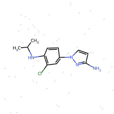 CC(C)Nc1ccc(-n2ccc(N)n2)cc1Cl